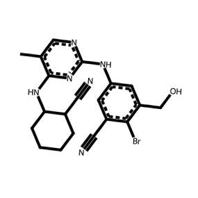 Cc1cnc(Nc2cc(C#N)c(Br)c(CO)c2)nc1NC1CCCCC1C#N